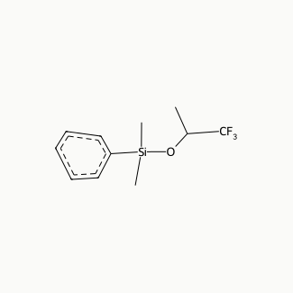 CC(O[Si](C)(C)c1ccccc1)C(F)(F)F